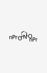 CCCOc1cccc(OCCC)n1